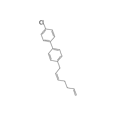 C=CCC/C=C\Cc1ccc(-c2ccc(Cl)cc2)cc1